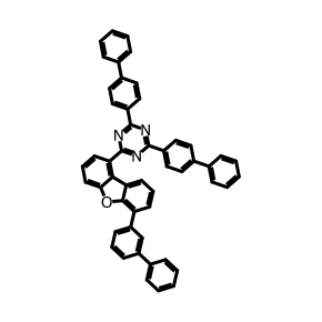 c1ccc(-c2ccc(-c3nc(-c4ccc(-c5ccccc5)cc4)nc(-c4cccc5oc6c(-c7cccc(-c8ccccc8)c7)cccc6c45)n3)cc2)cc1